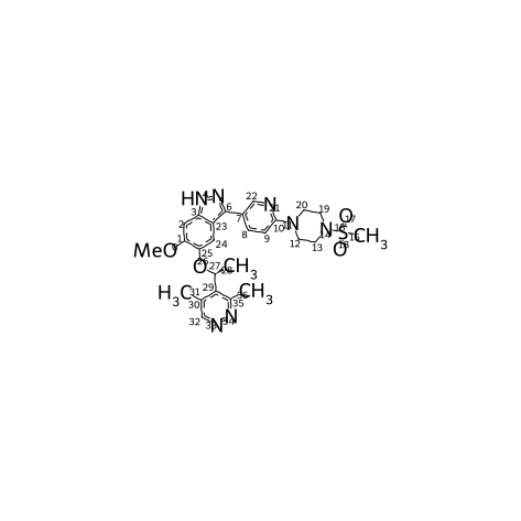 COc1cc2[nH]nc(-c3ccc(N4CCN(S(C)(=O)=O)CC4)nc3)c2cc1O[C@@H](C)c1c(C)cnnc1C